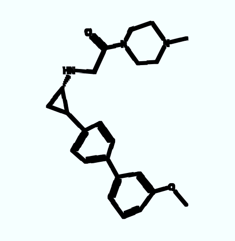 COc1cccc(-c2ccc(C3C[C@@H]3NCC(=O)N3CCN(C)CC3)cc2)c1